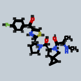 CN[C@H](C)C(=O)N1CC2(CC2)C[C@@H]1C(=O)N1CCC[C@@H]1c1nc(C(=O)c2ccc(F)cc2)cs1